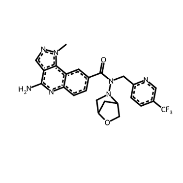 Cn1ncc2c(N)nc3ccc(C(=O)N(Cc4ccc(C(F)(F)F)cn4)N4CC5CC4CO5)cc3c21